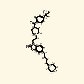 O=C(c1ccc(C(F)(F)F)cc1)C1CCN(CCn2c(=O)sc3cc(CCCCN4CCOCC4)ccc32)CC1